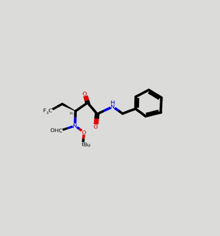 CC(C)(C)ON(C=O)[C@@H](CC(F)(F)F)C(=O)C(=O)NCc1ccccc1